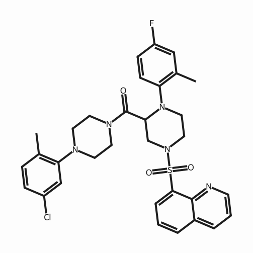 Cc1ccc(Cl)cc1N1CCN(C(=O)C2CN(S(=O)(=O)c3cccc4cccnc34)CCN2c2ccc(F)cc2C)CC1